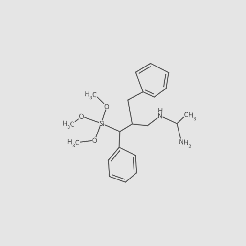 CO[Si](OC)(OC)C(c1ccccc1)C(CNC(C)N)Cc1ccccc1